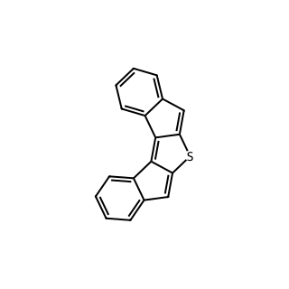 C1=c2sc3c(c2-c2ccccc21)-c1ccccc1C=3